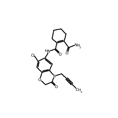 CC#CCN1C(=O)COc2cc(Cl)c(NC(=O)C3=C(C(N)=O)CCCC3)cc21